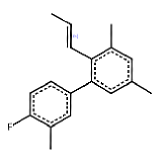 C/C=C/c1c(C)cc(C)cc1-c1ccc(F)c(C)c1